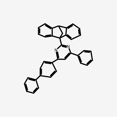 c1ccc(-c2ccc(-c3cc(-c4ccccc4)nc(C45CC(c6ccccc64)c4ccccc45)n3)cc2)cc1